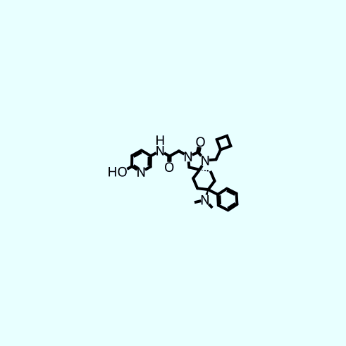 CN(C)[C@]1(c2ccccc2)CC[C@]2(CC1)CN(CC(=O)Nc1ccc(O)nc1)C(=O)N2CC1CCC1